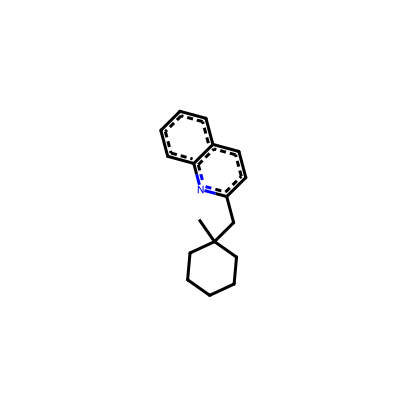 CC1(Cc2ccc3ccccc3n2)CCCCC1